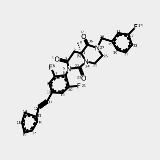 C[C@@]12CC(=O)N(c3c(F)cc(C#Cc4ccccc4)cc3F)C(=O)N1CCN(Cc1cccc(F)c1)C2=O